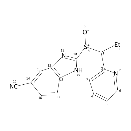 CCC(c1ccccn1)[S+]([O-])c1nc2cc(C#N)ccc2[nH]1